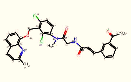 COC(=O)c1cccc(C=CC(=O)NCC(=O)N(C)c2ccc(Cl)c(COc3cccc4ccc(C)nc34)c2Cl)c1